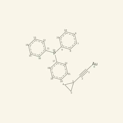 [Au][C]#CC1CC1.c1ccc(P(c2ccccc2)c2ccccc2)cc1